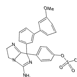 COc1cccc(-c2cccc(C3(c4ccc(OS(C)(=O)=O)cc4)N=C(N)N4CCN=C43)c2)c1